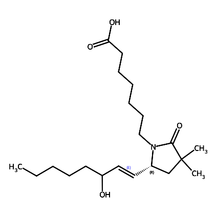 CCCCCC(O)/C=C/[C@H]1CC(C)(C)C(=O)N1CCCCCCC(=O)O